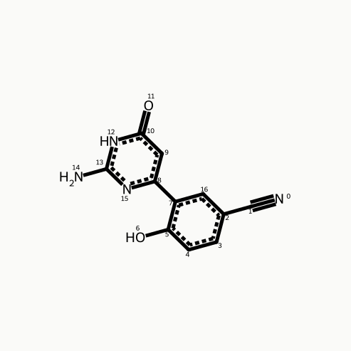 N#Cc1ccc(O)c(-c2cc(=O)[nH]c(N)n2)c1